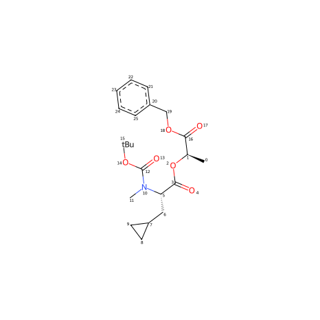 C[C@@H](OC(=O)[C@H](CC1CC1)N(C)C(=O)OC(C)(C)C)C(=O)OCc1ccccc1